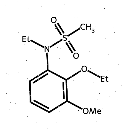 CCOc1c(OC)cccc1N(CC)S(C)(=O)=O